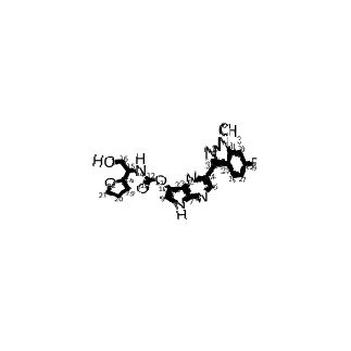 Cn1nc(-c2cnc3[nH]cc(OC(=O)NC(CO)C4CCCO4)c3n2)c2ccc(F)cc21